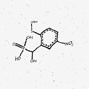 CCCCCCSc1ccc([N+](=O)[O-])cc1C(O)P(=O)(O)O